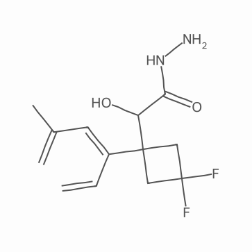 C=C/C(=C\C(=C)C)C1(C(O)C(=O)NN)CC(F)(F)C1